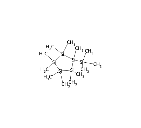 C[Si](C)(C)[Si]1(C)[Si](C)(C)[Si](C)(C)[Si](C)(C)[Si]1(C)C